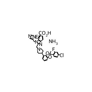 CCn1cncc1Cn1c(CN2CCC(c3cccc4c3OC(C)(c3ccc(Cl)cc3F)O4)CC2)nc2ccc(C(=O)O)cc21.N